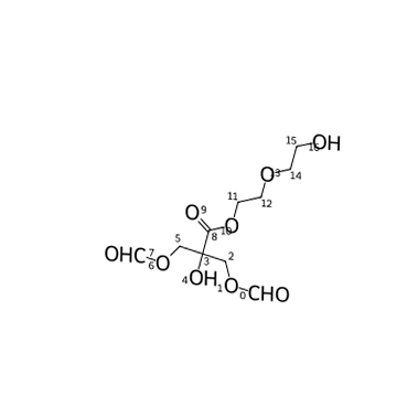 O=COCC(O)(COC=O)C(=O)OCCOCCO